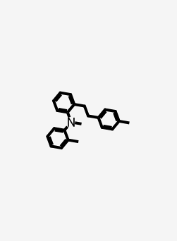 Cc1ccc(CCc2ccccc2N(C)c2ccccc2C)cc1